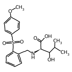 COc1ccc(S(=O)(=O)c2ccccc2CN[C@@H](C(=O)O)C(O)C(C)C)cc1